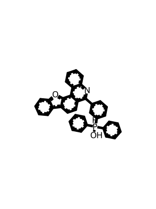 O[PH](c1ccccc1)(c1ccccc1)c1cccc(-c2nc3ccccc3c3c2ccc2c4ccccc4oc23)c1